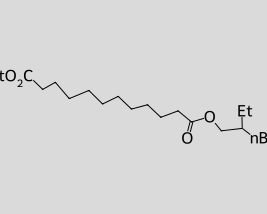 CCCCC(CC)COC(=O)CCCCCCCCCCC(=O)OCC